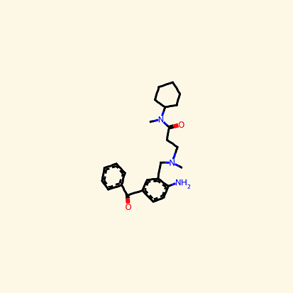 CN(CCC(=O)N(C)C1CCCCC1)Cc1cc(C(=O)c2ccccc2)ccc1N